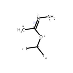 C/C(=N/N)OC(I)I